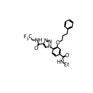 CCNC(=O)c1ccc(-n2cc(C(=O)NCC(F)(F)F)nn2)c(OCCCc2ccccc2)c1